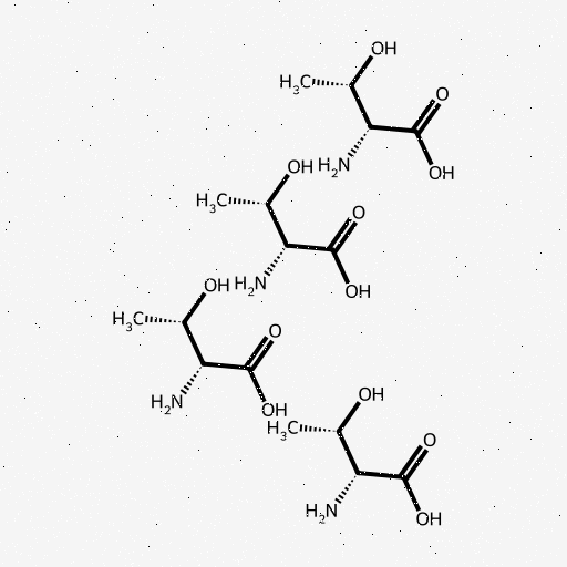 C[C@H](O)[C@@H](N)C(=O)O.C[C@H](O)[C@@H](N)C(=O)O.C[C@H](O)[C@@H](N)C(=O)O.C[C@H](O)[C@@H](N)C(=O)O